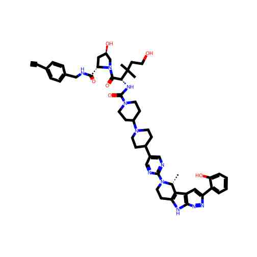 C#Cc1ccc(CNC(=O)[C@@H]2C[C@@H](O)CN2C(=O)[C@@H](NC(=O)N2CCC(N3CCC(c4cnc(N5CCc6[nH]c7nnc(-c8ccccc8O)cc7c6[C@H]5C)nc4)CC3)CC2)C(C)(C)CCO)cc1